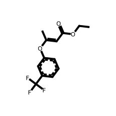 CCOC(=O)C=C(C)Oc1cccc(C(F)(F)F)c1